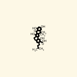 CC(C)CCc1cc2c(c(O)c1C(=O)O)-c1cc3c(c(O)c1CC2)C(=O)c1c(O)cc(O)cc1C3(C)C